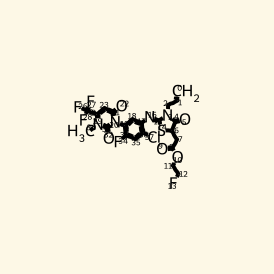 C=CCN1C(=O)C(CC(=O)OCCF)SC1=Nc1cc(-n2c(=O)cc(C(F)(F)F)n(C)c2=O)c(F)cc1Cl